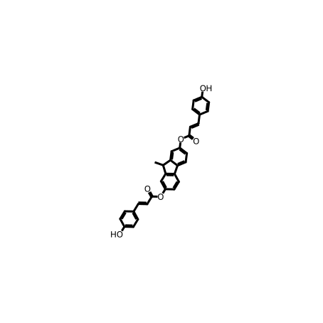 CC1c2cc(OC(=O)/C=C/c3ccc(O)cc3)ccc2-c2ccc(OC(=O)/C=C/c3ccc(O)cc3)cc21